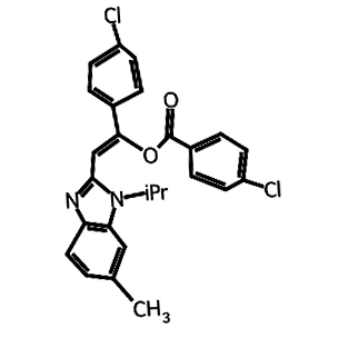 Cc1ccc2nc(C=C(OC(=O)c3ccc(Cl)cc3)c3ccc(Cl)cc3)n(C(C)C)c2c1